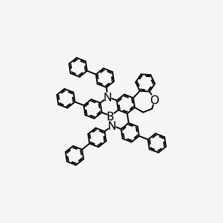 c1ccc(-c2ccc(N3B4c5ccc(-c6ccccc6)cc5N(c5cccc(-c6ccccc6)c5)c5cc6c(c(c54)-c4cc(-c5ccccc5)ccc43)CCOc3ccccc3-6)cc2)cc1